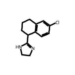 Clc1ccc2c(c1)CCCC2C1=NCCN1